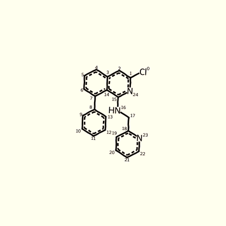 Clc1cc2cccc(-c3ccccc3)c2c(NCc2ccccn2)n1